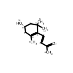 CC(=O)/C=C/C1=C(C)C[C@H](O)CC1(C)C